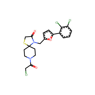 O=C(CCl)N1CCC2(CC1)SCC(=O)N2Cc1ccc(-c2cccc(Cl)c2Cl)o1